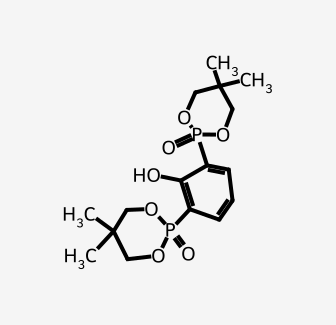 CC1(C)COP(=O)(c2cccc(P3(=O)OCC(C)(C)CO3)c2O)OC1